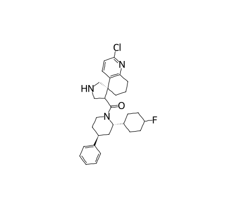 O=C(C1CNC[C@]12CCCc1nc(Cl)ccc12)N1CC[C@H](c2ccccc2)C[C@H]1C1CCC(F)CC1